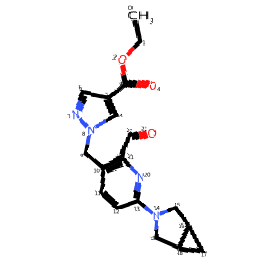 CCOC(=O)c1cnn(Cc2ccc(N3CC4CC4C3)nc2C=O)c1